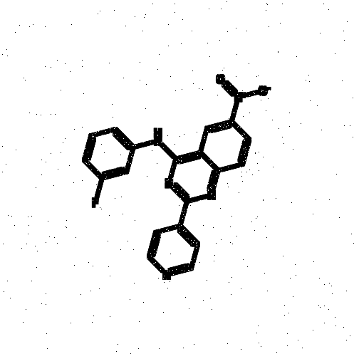 O=[N+]([O-])c1ccc2nc(-c3ccncc3)nc(Nc3cccc(F)c3)c2c1